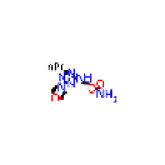 CCCc1nc(NCCOC(N)=O)nc(N2CCOCC2)n1